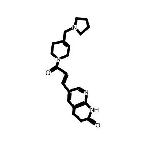 O=C1CCc2cc(C=CC(=O)N3CC=C(CN4CCCC4)CC3)cnc2N1